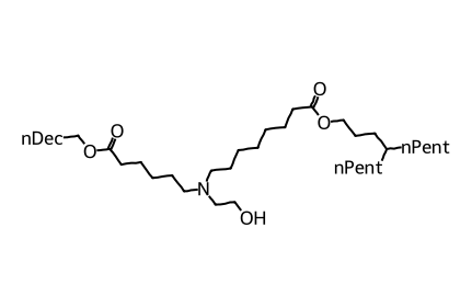 CCCCCCCCCCCOC(=O)CCCCCN(CCO)CCCCCCCC(=O)OCCCC(CCCCC)CCCCC